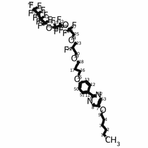 CCCCCCOc1cnc(-c2ccc(OCCCOC[C@H](F)COCC(F)(F)OC(F)(F)C(F)(F)OC(F)(F)C(F)(F)C(F)(F)C(F)(F)F)cc2)nc1